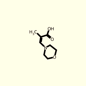 CC(=CN1CCOCC1)C(=O)O